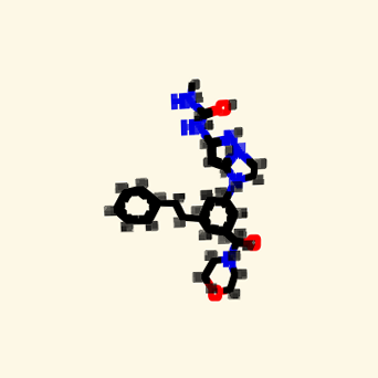 CNC(=O)Nc1cc2n(n1)CCN2c1cc(CCc2ccccc2)cc(C(=O)N2CCOCC2)c1